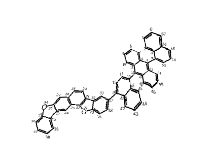 c1ccc2c(-c3c4ccccc4c(-c4ccc(-c5ccc6oc7c8cc9c(cc8ccc7c6c5)oc5ccccc59)c5ccccc45)c4ccccc34)cccc2c1